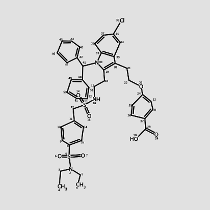 CCN(CC)S(=O)(=O)c1ccc(CS(=O)(=O)NCCc2c(CCOc3ccc(C(=O)O)cc3)c3cc(Cl)ccc3n2C(c2ccccc2)c2ccccc2)cc1